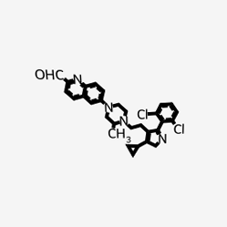 CC1CN(c2ccc3nc(C=O)ccc3c2)CCN1CCC1=C(C2CC2)CN=C1c1c(Cl)cccc1Cl